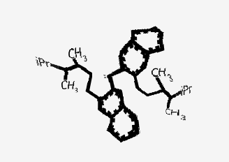 CC(C)C(C)C(C)CCc1cc2ccccc2cc1[C]c1cc2ccccc2cc1CCC(C)C(C)C(C)C